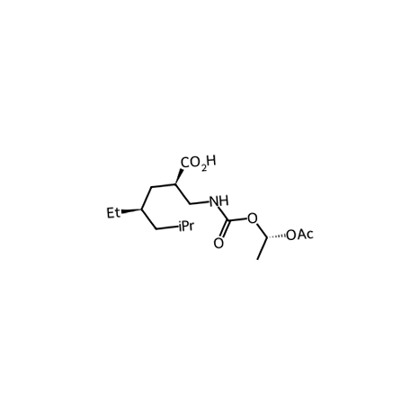 CC[C@H](CC(C)C)C[C@H](CNC(=O)O[C@@H](C)OC(C)=O)C(=O)O